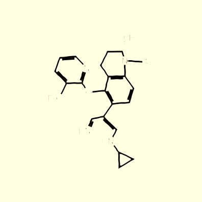 CC(=O)N1c2ccc(/C(C=N)=C/NC3CC3)c(Oc3ncccc3C(F)(F)F)c2CC[C@@H]1C